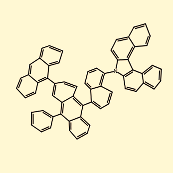 c1ccc(-c2c3ccccc3c(-c3cccc4c(-n5c6ccc7ccccc7c6c6c7ccccc7ccc65)cccc34)c3ccc(-c4c5ccccc5cc5ccccc45)cc23)cc1